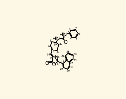 O=C(Nc1ccccc1)NC1CCN(C=C2N=C(c3cccc4ccccc34)OC2=O)CC1